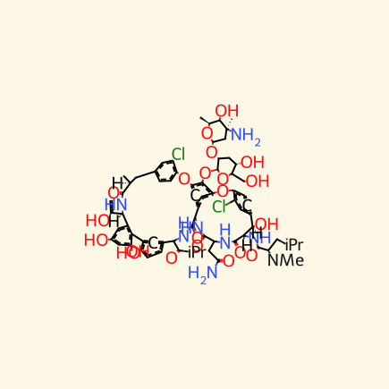 C=C(O)[C@H]1NC(=O)[C@@H](C)Cc2ccc(c(Cl)c2)Oc2cc3cc(c2O[C@@H]2OC(CO)[C@@H](O)C[C@H]2O[C@H]2C[C@](C)(N)[C@H](O)[C@H](C)O2)Oc2ccc(cc2Cl)[C@@H](O)[C@@H](NC(=O)[C@@H](CC(C)C)NC)C(=O)NC(CC(N)=O)C(=O)NC3C(=O)NC(C(=O)C(C)C)c2ccc(O)c(c2)-c2c(O)cc(O)cc21